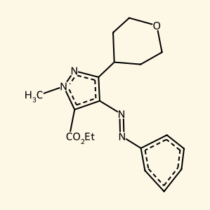 CCOC(=O)c1c(N=Nc2ccccc2)c(C2CCOCC2)nn1C